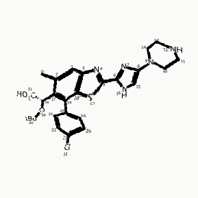 Cc1cc2nc(-c3nc(N4CCNCC4)c[nH]3)sc2c(-c2ccc(Cl)cc2)c1[C@H](OC(C)(C)C)C(=O)O